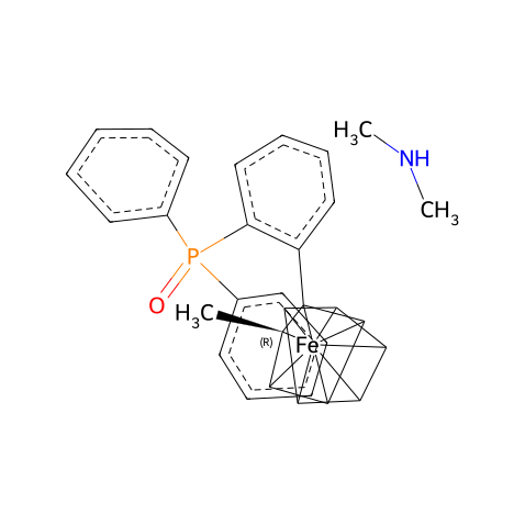 CNC.C[C@@]12[CH]3[CH]4[CH]5[C]1(c1ccccc1P(=O)(c1ccccc1)c1ccccc1)[Fe]45321678[CH]2[CH]1[CH]6[CH]7[CH]28